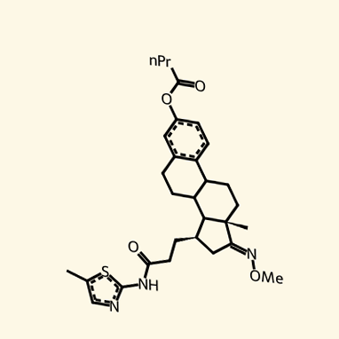 CCCC(=O)Oc1ccc2c(c1)CCC1C2CC[C@]2(C)/C(=N/OC)C[C@@H](CCC(=O)Nc3ncc(C)s3)C12